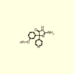 CCCOc1cccc(C2(c3ccncc3)N=C(N)NC2=O)c1